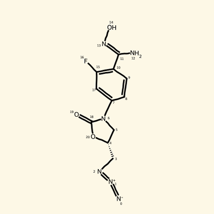 [N-]=[N+]=NC[C@H]1CN(c2ccc(/C(N)=N/O)c(F)c2)C(=O)O1